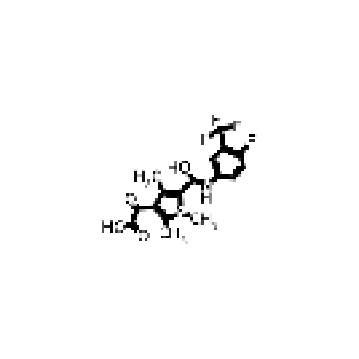 Cc1c(C(=O)C(=O)O)c(C)n(C)c1C(O)Nc1ccc(F)c(C(F)(F)F)c1